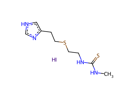 CNC(=S)NCCSCCc1c[nH]cn1.I